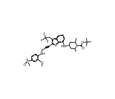 COc1cc(P(C)(C)=O)ccc1NCC#Cc1sc2c(NC3CC(C)N(C(=O)OC(C)(C)C)C(C)C3)cccc2c1CC(F)(F)F